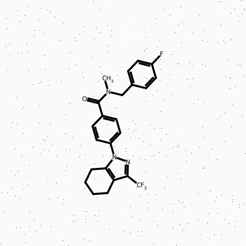 CN(Cc1ccc(F)cc1)C(=O)c1ccc(-n2nc(C(F)(F)F)c3c2CCCC3)cc1